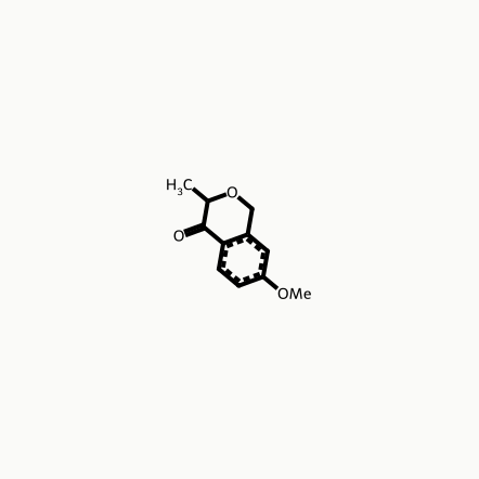 COc1ccc2c(c1)COC(C)C2=O